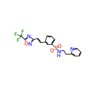 O=S(=O)(NCCc1ccccn1)c1cccc(C=Cc2noc(C(F)(F)F)n2)c1